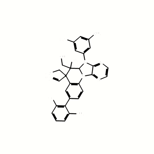 C=CC1(CC)c2cc(-c3c(C)cccc3C)ccc2N2c3nccnc3N(c3cc(C)cc(C)c3)C2C1(C)CC